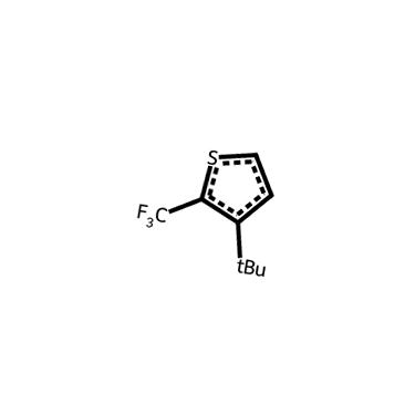 CC(C)(C)c1ccsc1C(F)(F)F